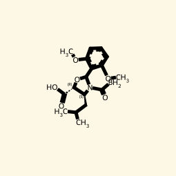 BC(=O)N1C(c2c(OC)cccc2OC)O[C@@H](C(=O)O)[C@@H]1CC(C)C